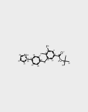 Cc1c(F)cc(C(=O)OC(C)(C)C)cc1Cc1ccc(-n2cccn2)cc1